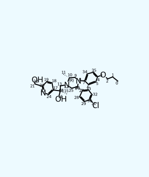 CCCOc1ccc(N2C[C@@H](C)N(C[C@@](C)(O)c3ccc(CO)nc3)C[C@H]2c2ccc(Cl)cc2)cc1